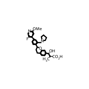 COc1cc(-c2ccc(C3CCc4ccc([C@H](O)[C@H](C)C(=O)O)cc4O3)c(CN3CCCC3)c2)c(F)cn1